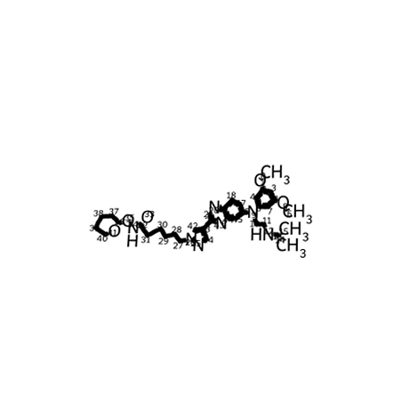 COc1cc(OC)cc(N(CCNC(C)C)c2ccc3ncc(-c4cnn(CCCCCC(=O)NOC5CCCCO5)c4)nc3c2)c1